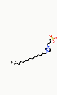 CCCCCCCCCCCCCCn1cc[n+](CCCS(=O)(=O)O)c1